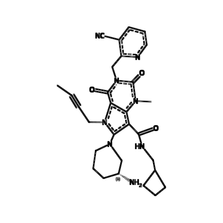 CC#CCn1c(N2CCC[C@@H](N)C2)c(C(=O)NCC2CCC2)c2c1c(=O)n(Cc1ncccc1C#N)c(=O)n2C